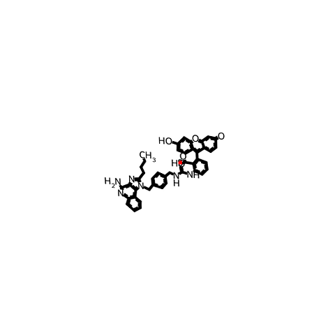 CCCCc1nc2c(N)nc3ccccc3c2n1Cc1ccc(CNC(=S)Nc2cccc(-c3c4ccc(=O)cc-4oc4cc(O)ccc34)c2C(=O)O)cc1